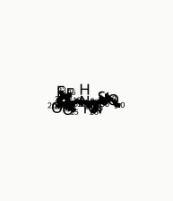 CCOc1csc(-c2cc(NCCc3c(C)oc4c(OC)cc(F)c(F)c34)ncn2)c1